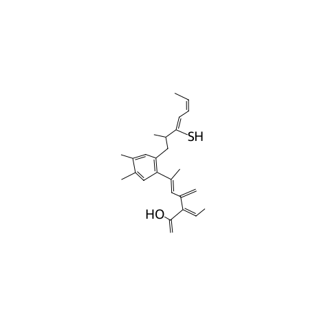 C=C(O)/C(=C/C)C(=C)/C=C(\C)c1cc(C)c(C)cc1CC(C)/C(S)=C/C=C\C